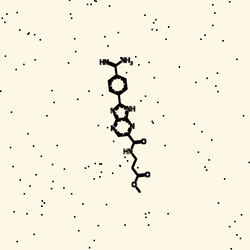 COC(=O)CCNC(=O)c1cnc2nc(-c3ccc(C(=N)N)cc3)[nH]c2n1